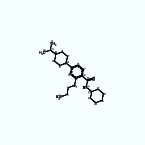 CCCSc1nc(N2CCC(C(C)C)CC2)ccc1C(=O)NC1CCCCC1